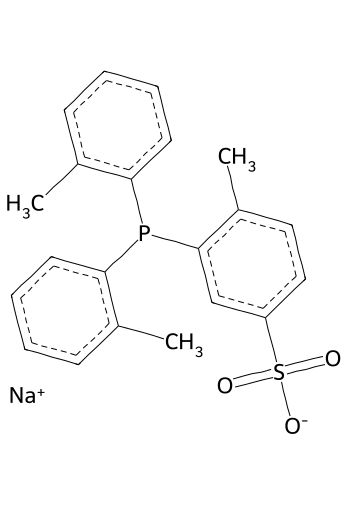 Cc1ccccc1P(c1ccccc1C)c1cc(S(=O)(=O)[O-])ccc1C.[Na+]